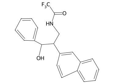 O=C(NCC(c1ccc2ccccc2c1)C(O)c1ccccc1)C(F)(F)F